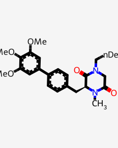 CCCCCCCCCCCN1CC(=O)N(C)[C@@H](Cc2ccc(-c3cc(OC)c(OC)c(OC)c3)cc2)C1=O